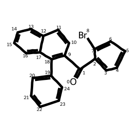 O=C(c1ccccc1Br)c1ccc2ccccc2c1-c1ccccc1